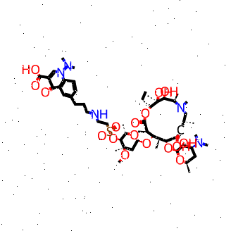 CC[C@H]1OC(=O)[C@H](C)[C@@H](O[C@H]2C[C@@](C)(OC)[C@@H](OS(=O)(=O)CCNCCCc3ccc4c(c3)c(=O)c(C(=O)O)cn4N(C)C)[C@H](C)O2)[C@H](C)[C@@H](O[C@@H]2O[C@H](C)C[C@H](N(C)C)[C@H]2O)[C@](C)(O)C[C@@H](C)CN(C)[C@H](C)[C@@H](O)[C@]1(C)O